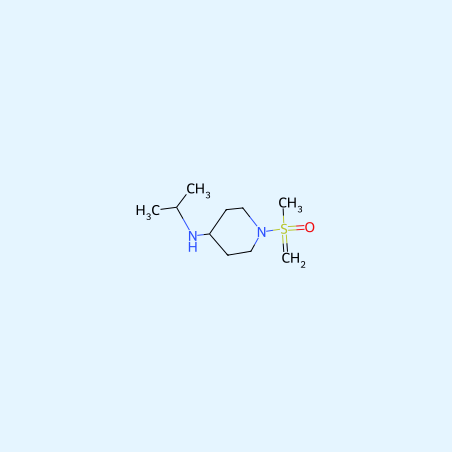 C=S(C)(=O)N1CCC(NC(C)C)CC1